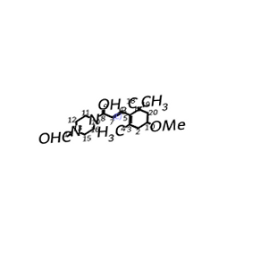 COC1CC(C)=C(/C=C/C(=O)N2CCN(C=O)CC2)C(C)(C)C1